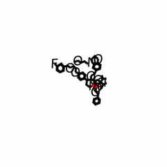 COCCCN1CCOc2ccc(COC3C(c4ccc(OCCOCc5cccc(F)c5)cc4)CCN(C(=O)OCc4ccccc4)C3O[Si](C(C)C)(C(C)C)C(C)C)cc21